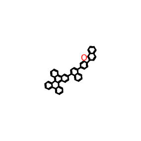 c1ccc2c(c1)ccc1c3ccc(-c4ccc(-c5ccc6c(c5)c5ccccc5c5c7ccccc7c7ccccc7c65)c5ccccc45)cc3oc21